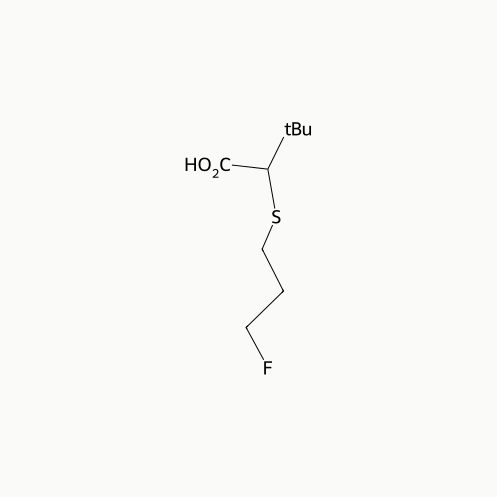 CC(C)(C)C(SCCCF)C(=O)O